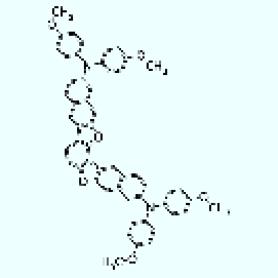 COc1ccc(N(c2ccc(OC)cc2)c2ccc3cc4c(cc3c2)oc2c4ccc3oc4cc5cc(N(c6ccc(OC)cc6)c6ccc(OC)cc6)ccc5cc4c32)cc1